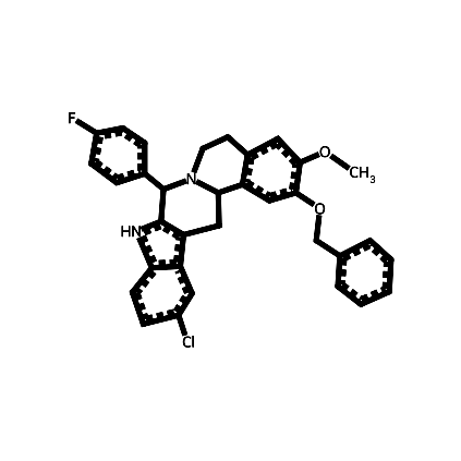 COc1cc2c(cc1OCc1ccccc1)C1Cc3c([nH]c4ccc(Cl)cc34)C(c3ccc(F)cc3)N1CC2